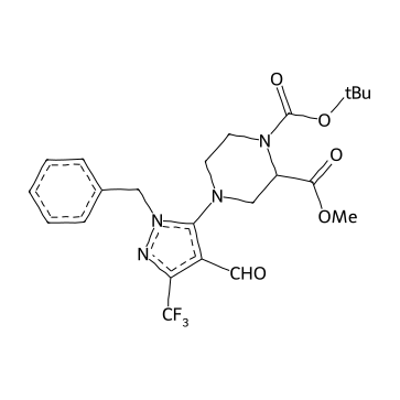 COC(=O)C1CN(c2c(C=O)c(C(F)(F)F)nn2Cc2ccccc2)CCN1C(=O)OC(C)(C)C